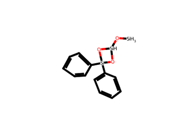 [SiH3]O[SiH]1O[Si](c2ccccc2)(c2ccccc2)O1